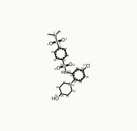 CN(C)S(=O)(=O)c1ccc(S(=O)(=O)Nc2cc(Cl)ccc2N2CCC(O)CC2)cc1